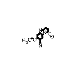 CCOc1cc2nc3ccc(=C=O)n3c2cc1C#N